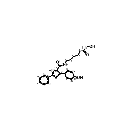 O=C(CCCCCNC(=O)c1[nH]c(-c2ccccc2)cc1-c1ccc(O)cc1)NO